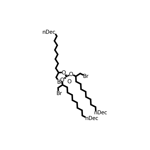 CCCCCCCCCCCCCCCCCCC(CBr)OP(=O)(OC(CBr)CCCCCCCCCCCCCCCCCC)OC(CBr)CCCCCCCCCCCCCCCCCC